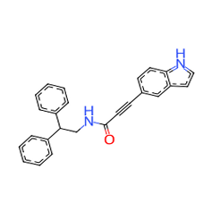 O=C(C#Cc1ccc2[nH]ccc2c1)NCC(c1ccccc1)c1ccccc1